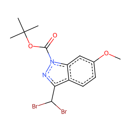 COc1ccc2c(C(Br)Br)nn(C(=O)OC(C)(C)C)c2c1